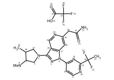 CNC1CN(c2nn(-c3ccnc(C(C)(F)F)n3)c3cc(CC(N)=O)ncc23)CC1C.O=C(O)C(F)(F)F